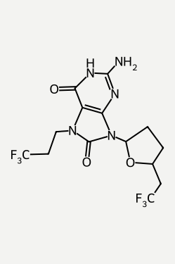 Nc1nc2c(c(=O)[nH]1)n(CCC(F)(F)F)c(=O)n2C1CCC(CC(F)(F)F)O1